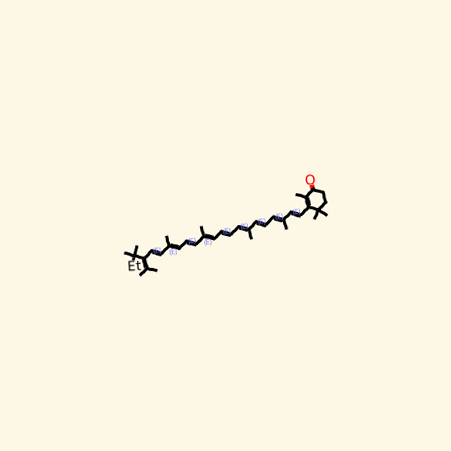 CCC(C)(C)C(/C=C/C(C)=C/C=C/C(C)=C/C=C/C=C(C)/C=C/C=C(C)/C=C/C1=C(C)C(=O)CCC1(C)C)=C(C)C